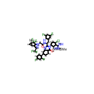 CNc1c(-n2c(C(Cc3cc(F)cc(F)c3)NC(=O)Cn3nc(C(F)F)c4c3C(F)(F)[C@@H]3CC43)nc3cc(-c4ccc(F)cc4F)ccc3c2=O)ccc(Cl)c1C(=N)NSC